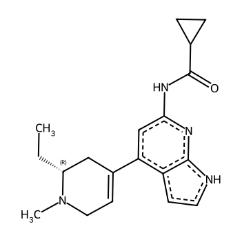 CC[C@@H]1CC(c2cc(NC(=O)C3CC3)nc3[nH]ccc23)=CCN1C